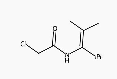 CC(C)=C(NC(=O)CCl)C(C)C